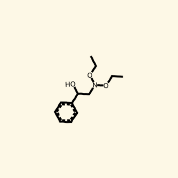 CCON(CC(O)c1ccccc1)OCC